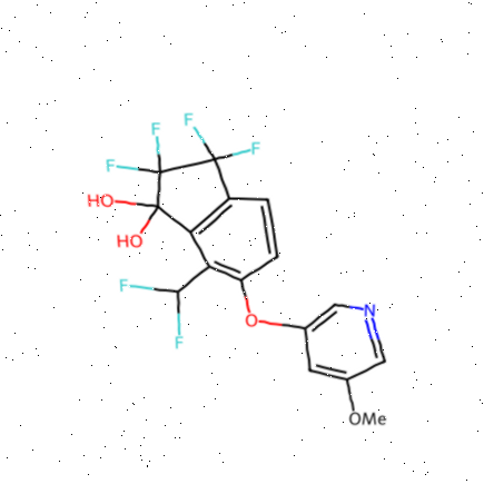 COc1cncc(Oc2ccc3c(c2C(F)F)C(O)(O)C(F)(F)C3(F)F)c1